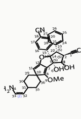 C#C[C@H]1[C@@H](O)[C@@]2(O)C3=C(OC)C4(C=C3O[C@@]2(c2ccc(C#N)cc2)[C@@H]1c1ccccc1)CCC(/C=C\N)CC4